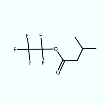 CC(C)CC(=O)OC(F)(F)C(F)(F)F